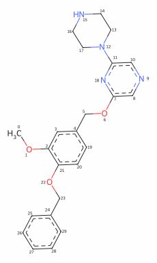 COc1cc(COc2cncc(N3CCNCC3)n2)ccc1OCc1ccccc1